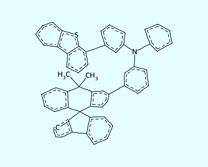 CC1(C)c2ccccc2C2(c3ccccc3-c3ccccc32)c2ccc(-c3cccc(N(c4ccccc4)c4cccc(-c5cccc6c5sc5ccccc56)c4)c3)cc21